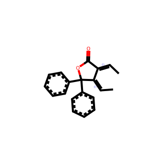 C/C=C1/C(=O)OC(c2ccccc2)(c2ccccc2)/C1=C/C